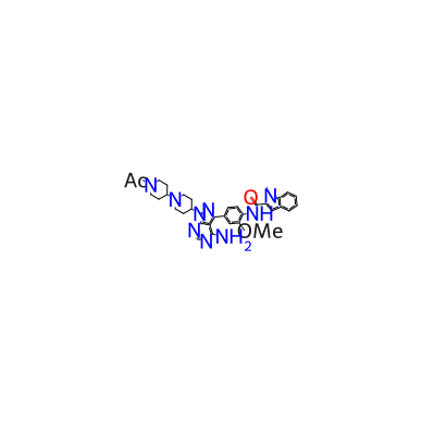 COc1cc(-c2nn(C3CCN(C4CCN(C(C)=O)CC4)CC3)c3ncnc(N)c23)ccc1NC(=O)c1cc2ccccc2n1C